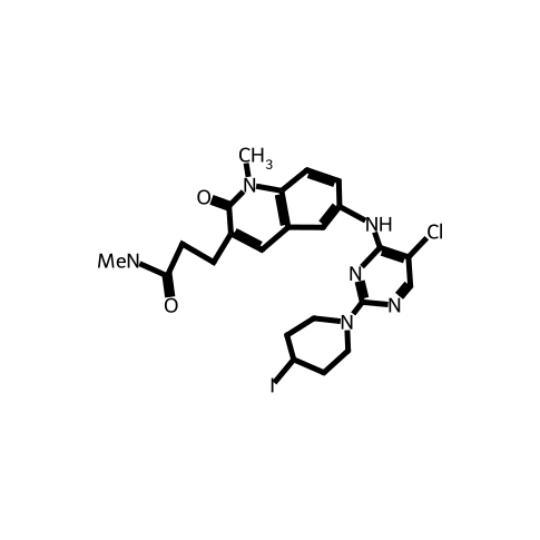 CNC(=O)CCc1cc2cc(Nc3nc(N4CCC(I)CC4)ncc3Cl)ccc2n(C)c1=O